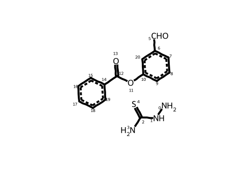 NNC(N)=S.O=Cc1cccc(OC(=O)c2ccccc2)c1